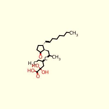 CCCCCCC=C[C@H]1CCC(=O)[C@@H]1CC(C)=C=C(CC)CC(O)(O)C(=O)O